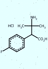 CC(C)(N)C(C(=O)O)c1ccc(F)cc1.Cl